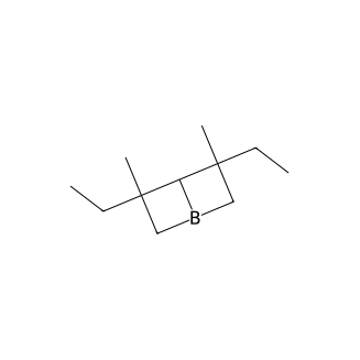 CCC1(C)CB2CC(C)(CC)C21